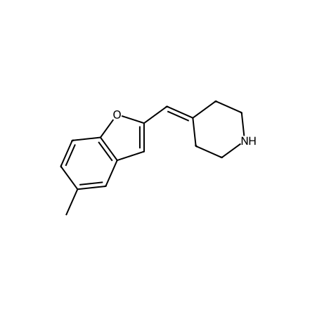 Cc1ccc2oc(C=C3CCNCC3)cc2c1